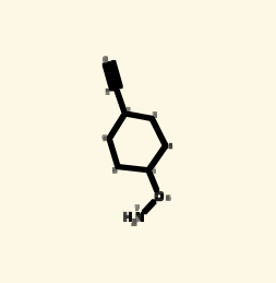 C#CC1CCC(ON)CC1